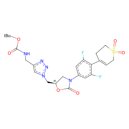 CC(C)(C)OC(=O)NCc1cn(C[C@H]2CN(c3cc(F)c(C4=CCS(=O)(=O)CC4)c(F)c3)C(=O)O2)nn1